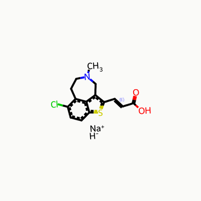 CN1CCc2c(Cl)ccc3sc(/C=C/C(=O)O)c(c23)C1.[H-].[Na+]